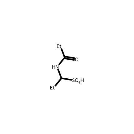 CCC(=O)NC(CC)S(=O)(=O)O